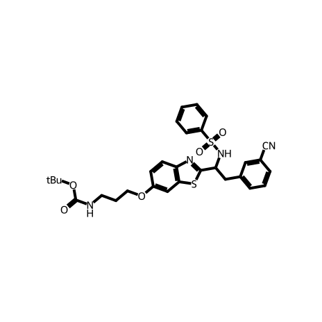 CC(C)(C)OC(=O)NCCCOc1ccc2nc(C(Cc3cccc(C#N)c3)NS(=O)(=O)c3ccccc3)sc2c1